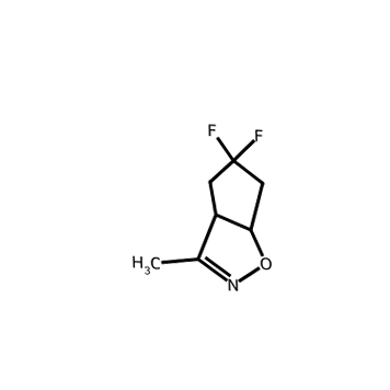 CC1=NOC2CC(F)(F)CC12